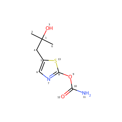 CC(C)(O)Cc1cnc(OC(N)=O)s1